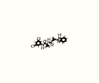 O=C(NC1(C(=O)Nc2cc(Cl)cc(Cl)c2)CC1)[C@H]1C[C@@H]1c1nc2ccccc2[nH]1